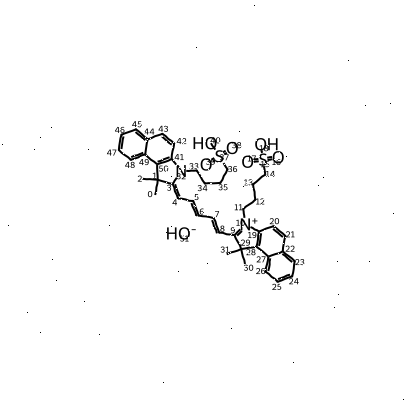 CC1(C)C(=CC=CC=CC2=[N+](CCCCS(=O)(=O)O)c3ccc4ccccc4c3C2(C)C)N(CCCCS(=O)(=O)O)c2ccc3ccccc3c21.[OH-]